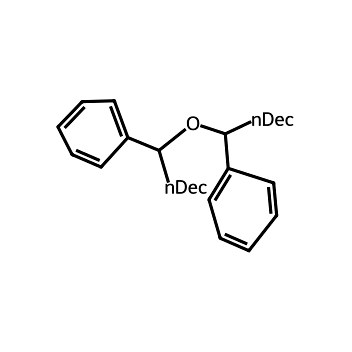 CCCCCCCCCCC(OC(CCCCCCCCCC)c1ccccc1)c1ccccc1